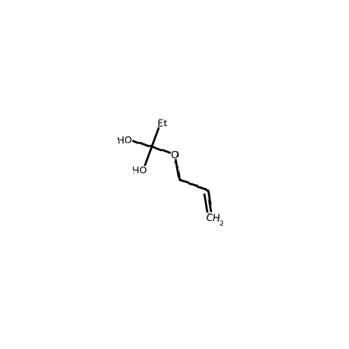 C=CCOC(O)(O)CC